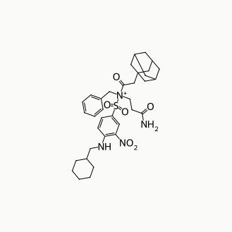 NC(=O)CC[N+](Cc1ccccc1)(C(=O)CC12CC3CC(CC(C3)C1)C2)S(=O)(=O)c1ccc(NCC2CCCCC2)c([N+](=O)[O-])c1